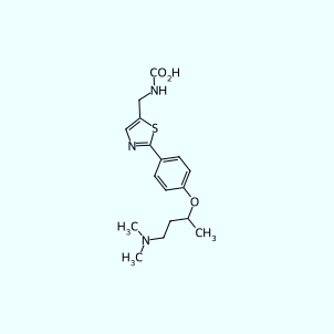 CC(CCN(C)C)Oc1ccc(-c2ncc(CNC(=O)O)s2)cc1